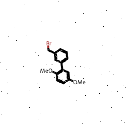 COc1ccc(OC)c(-c2cccc(CBr)c2)c1